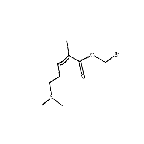 CC(=CCCN(C)C)C(=O)OCBr